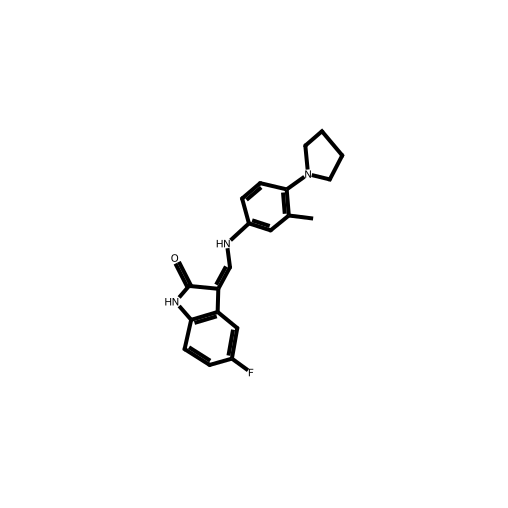 Cc1cc(NC=C2C(=O)Nc3ccc(F)cc32)ccc1N1CCCC1